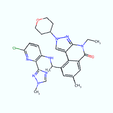 CCn1c(=O)c2cc(C)cc(C(C)Nc3ccc(Cl)nc3-c3ncn(C)n3)c2c2cn(C3CCOCC3)nc21